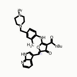 CCCCC(=O)C1=C(Nc2ccc(CN3CCN(C(C)C)CC3)cc2C)O/C(=C\c2c[nH]c3ncccc23)C1=O